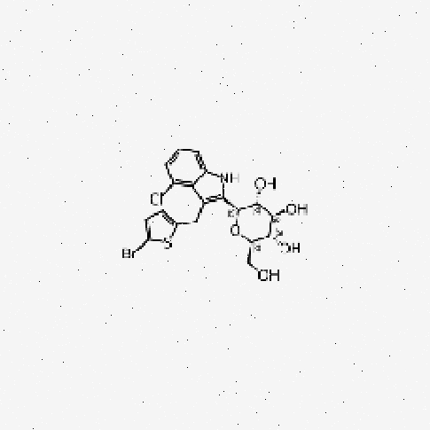 OC[C@H]1O[C@@H](c2[nH]c3cccc(Cl)c3c2Cc2ccc(Br)s2)[C@H](O)[C@@H](O)[C@@H]1O